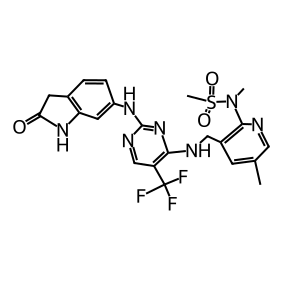 Cc1cnc(N(C)S(C)(=O)=O)c(CNc2nc(Nc3ccc4c(c3)NC(=O)C4)ncc2C(F)(F)F)c1